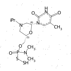 Cc1cn([C@H]2CN(C(C)C)C[C@@H](COP(=O)(SS)N(C)C)O2)c(=O)[nH]c1=O